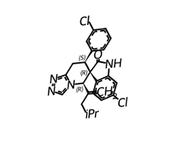 C=C(CC(C)C)[C@H]1n2cnnc2C[C@@H](c2cccc(Cl)c2)[C@]12C(=O)Nc1cc(Cl)ccc12